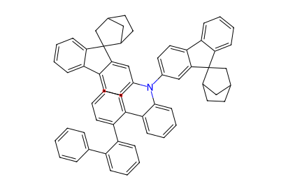 c1ccc(-c2ccccc2-c2ccccc2-c2ccccc2N(c2ccc3c(c2)C2(CC4CCC2C4)c2ccccc2-3)c2ccc3c(c2)C2(CC4CCC2C4)c2ccccc2-3)cc1